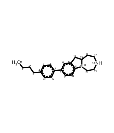 CCCCc1ccc(-c2ccc3c(c2)CC2CCNCCN32)cc1